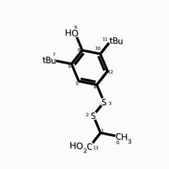 CC(SSc1cc(C(C)(C)C)c(O)c(C(C)(C)C)c1)C(=O)O